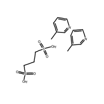 Cc1cccnc1.Cc1cccnc1.O=S(=O)(O)CCCS(=O)(=O)O